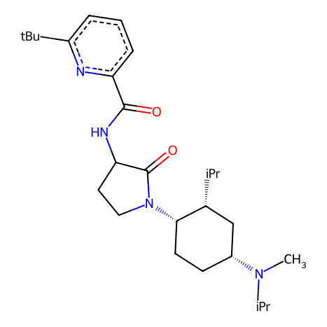 CC(C)[C@@H]1C[C@H](N(C)C(C)C)CC[C@@H]1N1CCC(NC(=O)c2cccc(C(C)(C)C)n2)C1=O